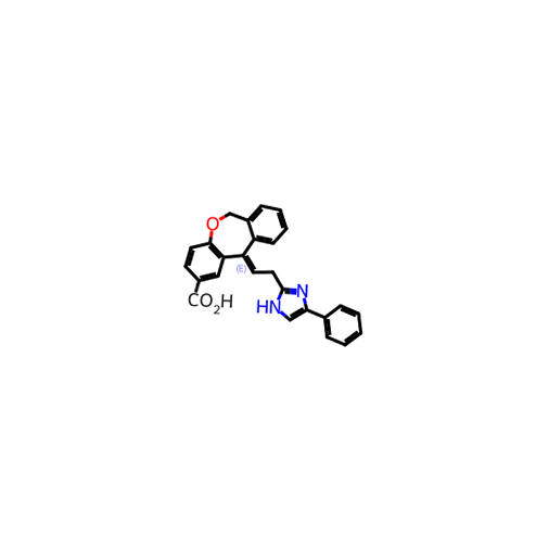 O=C(O)c1ccc2c(c1)/C(=C/Cc1nc(-c3ccccc3)c[nH]1)c1ccccc1CO2